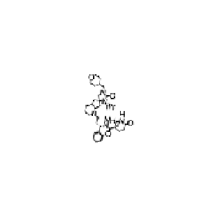 CC(C)N1C(=O)N(CC2CCOCC2)CC12CC1CCCN(CC[C@@H](c3ccccc3)N(N)C(=O)C3CCC(=O)NC3)C1C2